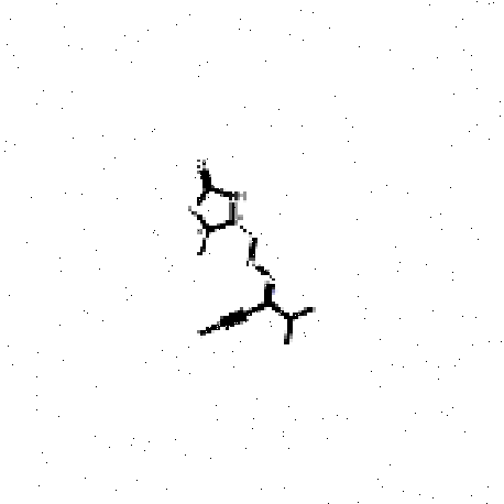 CC#C/C(=N\OC[C@H]1NC(=O)O[C@@H]1C)C(C)C